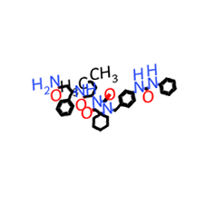 CC(C)CC(C(=O)NC(CC(N)=O)c1ccccc1)N1C(=O)N(Cc2ccc(NC(=O)Nc3ccccc3)cc2)C2(CCCCC2)C1=O